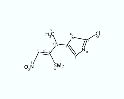 CS/C(=C\[N+](=O)[O-])N(C)c1cnc(Cl)s1